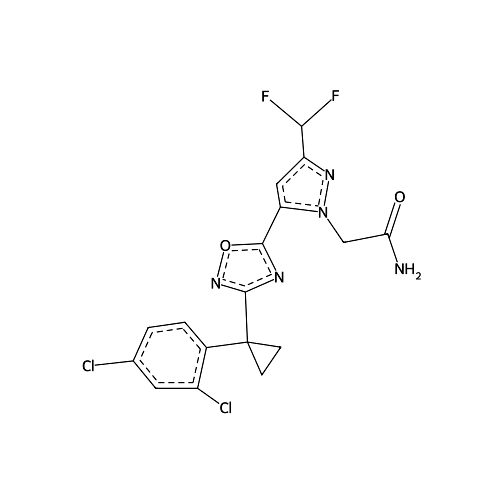 NC(=O)Cn1nc(C(F)F)cc1-c1nc(C2(c3ccc(Cl)cc3Cl)CC2)no1